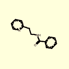 O=C(NCCc1ccccn1)c1c[c][c]cc1